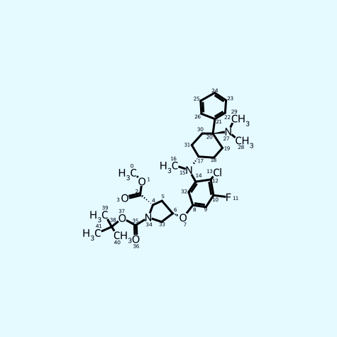 COC(=O)[C@@H]1C[C@H](Oc2cc(F)c(Cl)c(N(C)[C@H]3CC[C@](c4ccccc4)(N(C)C)CC3)c2)CN1C(=O)OC(C)(C)C